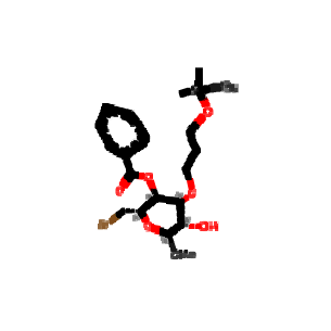 CO[C@H]1O[C@H](CBr)[C@@H](OC(=O)c2ccccc2)[C@@H](OCCCO[Si](C)(C)C(C)(C)C)[C@@H]1O